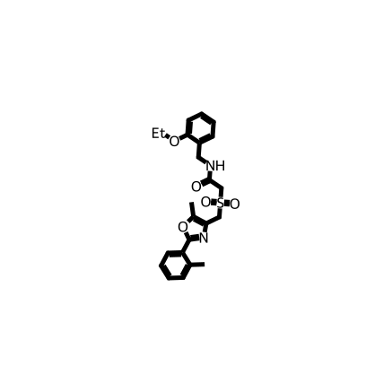 CCOc1ccccc1CNC(=O)CS(=O)(=O)Cc1nc(-c2ccccc2C)oc1C